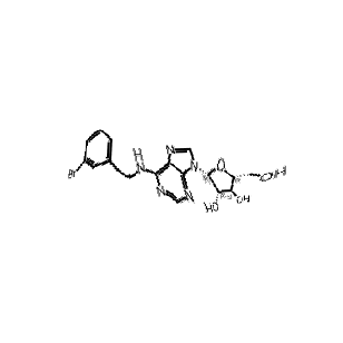 OC[C@H]1O[C@@H](n2cnc3c(NCc4cccc(Br)c4)ncnc32)[C@@H](O)[C@@H]1O